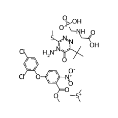 COC(=O)c1cc(Oc2ccc(Cl)cc2Cl)ccc1[N+](=O)[O-].CSc1nnc(C(C)(C)C)c(=O)n1N.C[S+](C)C.O=C(O)CNCP(=O)([O-])O